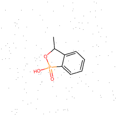 CC1OP(=O)(O)c2ccccc21